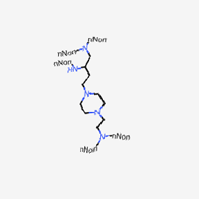 CCCCCCCCCNC(CCN1CCN(CCN(CCCCCCCCC)CCCCCCCCC)CC1)CN(CCCCCCCCC)CCCCCCCCC